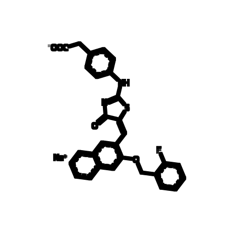 O=C([O-])Cc1ccc(NC2=NC(=O)C(=Cc3cc4ccccc4cc3OCc3ccccc3F)S2)cc1.[Na+]